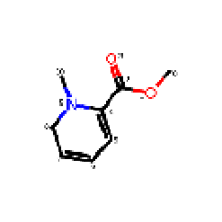 COC(=O)C1=CC=CCN1C